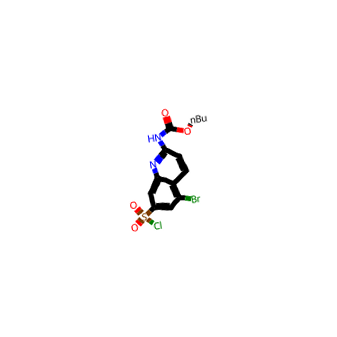 CCCCOC(=O)Nc1ccc2c(Br)cc(S(=O)(=O)Cl)cc2n1